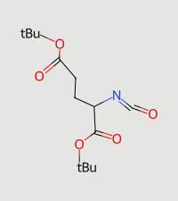 CC(C)(C)OC(=O)CCC(N=C=O)C(=O)OC(C)(C)C